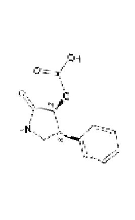 O=C(O)O[C@@H]1C(=O)NC[C@@H]1c1ccccc1